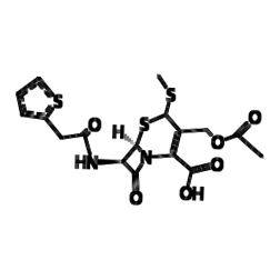 CSC1S[C@@H]2[C@H](NC(=O)Cc3cccs3)C(=O)N2C(C(=O)O)=C1COC(C)=O